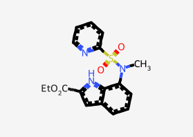 CCOC(=O)c1cc2cccc(N(C)S(=O)(=O)c3ccccn3)c2[nH]1